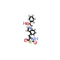 O=C1NC(=Cc2cccc3c2ccn3CC(O)c2ccccc2)C(=O)S1